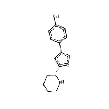 Oc1ccc(-c2csc([C@H]3CCCCN3)n2)cc1